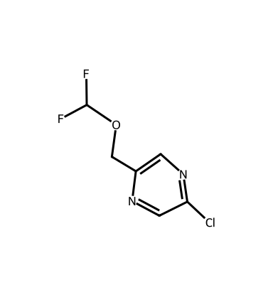 FC(F)OCc1cnc(Cl)cn1